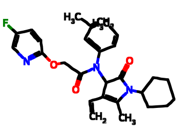 C=CC1=C(C)N(C2CCCCC2)C(=O)C1N(C(=O)COc1ccc(F)cn1)C(/C=C\C)=C/C(=C)C